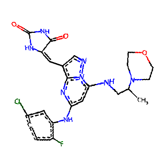 CC(CNc1cc(Nc2cc(Cl)ccc2F)nc2c(C=C3NC(=O)NC3=O)cnn12)N1CCOCC1